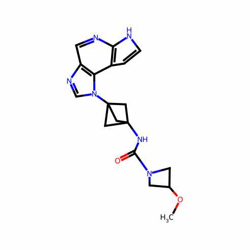 COC1CN(C(=O)NC23CC(n4cnc5cnc6[nH]ccc6c54)(C2)C3)C1